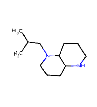 C[C](C)CN1CCCC2NCCCC21